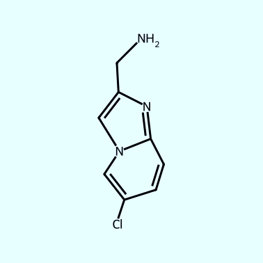 NCc1cn2cc(Cl)ccc2n1